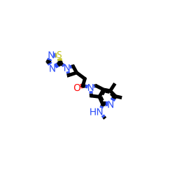 CNc1nc(C)c(C)c2c1CN(C(=O)CC1CN(c3ncns3)C1)C2